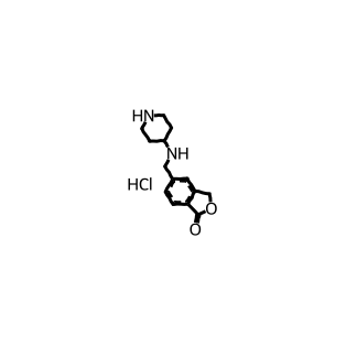 Cl.O=C1OCc2cc(CNC3CCNCC3)ccc21